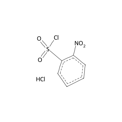 Cl.O=[N+]([O-])c1ccccc1S(=O)(=O)Cl